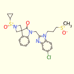 C[S+]([O-])CCCn1c(CN2C(=O)C3(CN([S+]([O-])C4CC4)C3)c3ccccc32)nc2cc(Cl)ccc21